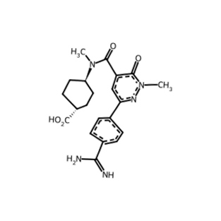 Cn1nc(-c2ccc(C(=N)N)cc2)cc(C(=O)N(C)[C@H]2CC[C@H](C(=O)O)CC2)c1=O